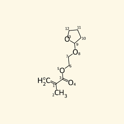 C=C(C)C(=O)OCCOC1CCCO1